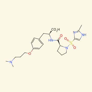 Cc1nc(S(=O)(=O)N2CCC[C@H]2C(=O)N[C@@H](Cc2ccc(OCCCN(C)C)cc2)C(=O)O)c[nH]1